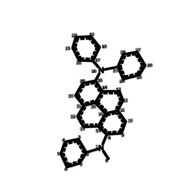 CN(c1ccccc1)c1ccc2ccc3c(N(c4ccccc4)c4ccccc4)ccc4ccc1c2c43